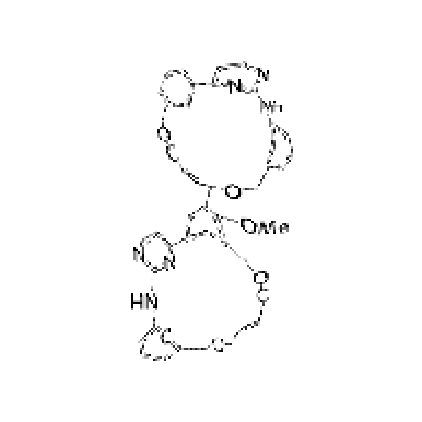 COc1c2cc(cc1C1/C=C\COc3cccc(c3)-c3ccnc(n3)Nc3cccc(c3)CO1)-c1ccnc(n1)Nc1cccc(c1)COC/C=C/COC2